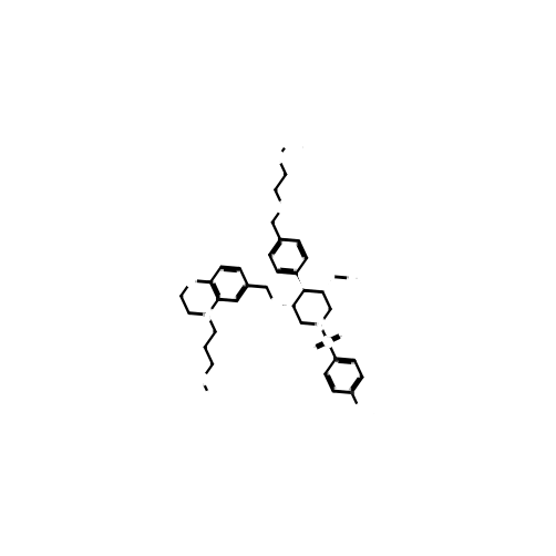 COCCCN1CCOc2ccc(CO[C@H]3CN(S(=O)(=O)c4ccc(C)cc4)C[C@@H](CO)[C@@H]3c3ccc(COCCOC)cc3)cc21